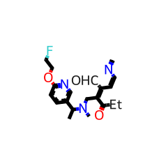 C=N/C=C\C(C=O)=C(\CN(C)C(C)c1ccc(OCCF)nc1)C(=O)CC